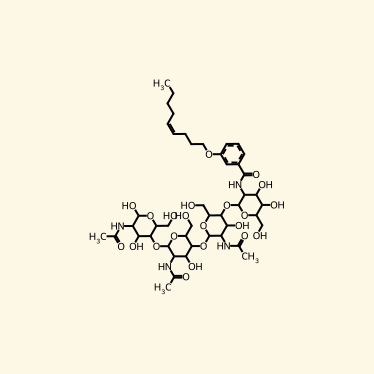 CCCC/C=C\CCCOc1cccc(C(=O)NC2C(OC3C(CO)OC(OC4C(CO)OC(OC5C(CO)OC(O)C(NC(C)=O)C5O)C(NC(C)=O)C4O)C(NC(C)=O)C3O)OC(CO)C(O)C2O)c1